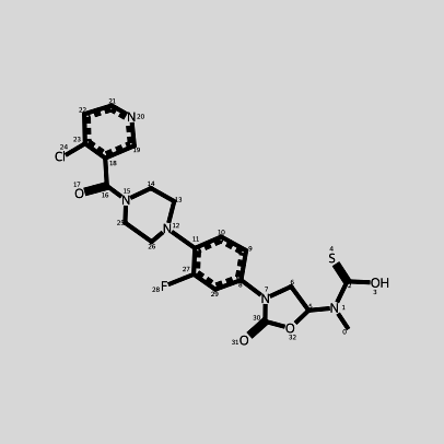 CN(C(O)=S)C1CN(c2ccc(N3CCN(C(=O)c4cnccc4Cl)CC3)c(F)c2)C(=O)O1